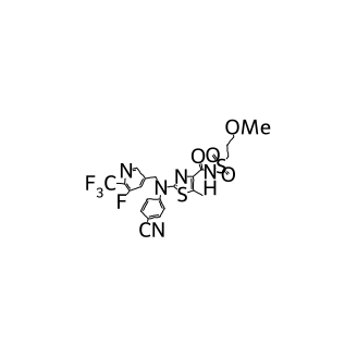 COCCCS(=O)(=O)NC(=O)c1nc(N(Cc2cnc(C(F)(F)F)c(F)c2)c2ccc(C#N)cc2)sc1C